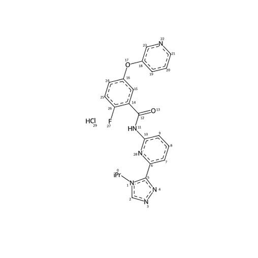 CC(C)n1cnnc1-c1cccc(NC(=O)c2cc(Oc3cccnc3)ccc2F)n1.Cl